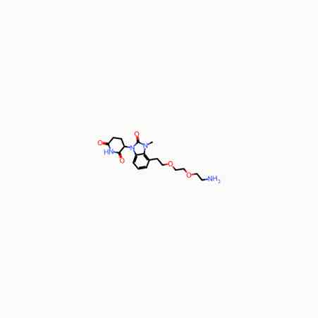 Cn1c(=O)n(C2CCC(=O)NC2=O)c2cccc(CCOCCOCCN)c21